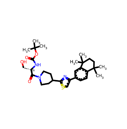 CC(C)(C)OC(=O)N[C@@H](CO)C(=O)N1CCC(c2nc(-c3ccc4c(c3)C(C)(C)CCC4(C)C)cs2)CC1